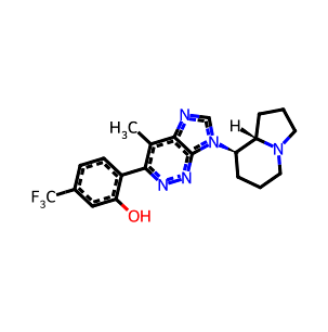 Cc1c(-c2ccc(C(F)(F)F)cc2O)nnc2c1ncn2[C@@H]1CCCN2CCC[C@@H]12